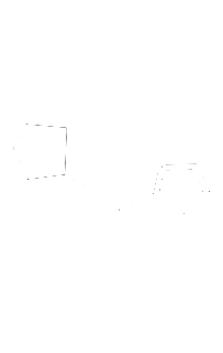 O=S(=O)(Nc1nccs1)C1CCCC1